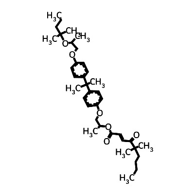 CCCCC(C)(C)C(=O)/C=C/C(=O)OC(C)COc1ccc(C(C)(C)c2ccc(OCC(C)OC(C)(C)CCC)cc2)cc1